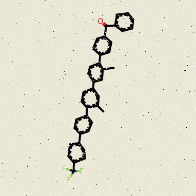 Cc1cc(-c2ccc(-c3ccc(-c4ccc(C(F)(F)F)cc4)cc3)c(C)c2)ccc1-c1ccc(C(=O)c2ccccc2)cc1